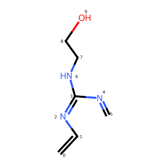 C=C/N=C(\N=C)NCCO